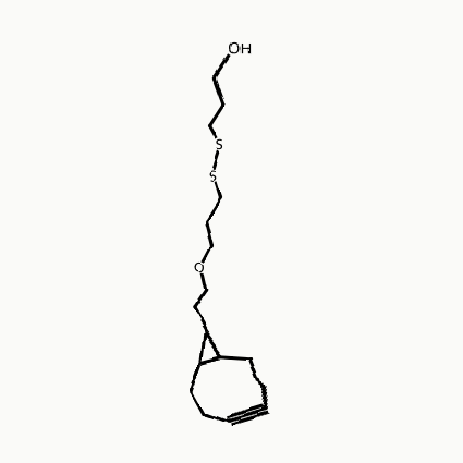 OCCCSSCCCOCCC1C2CCC#CCCC21